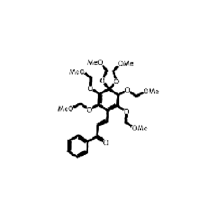 COCOC1=C(OCOC)C(OCOC)(OCOC)C(OCOC)C(OCOC)=C1C=CC(=O)c1ccccc1